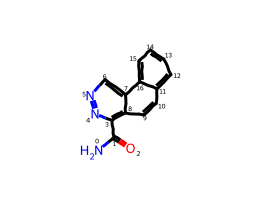 NC(=O)c1nncc2c1ccc1ccccc12